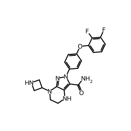 NC(=O)c1c2c(nn1-c1ccc(Oc3cccc(F)c3F)cc1)N(C1CNC1)CCN2